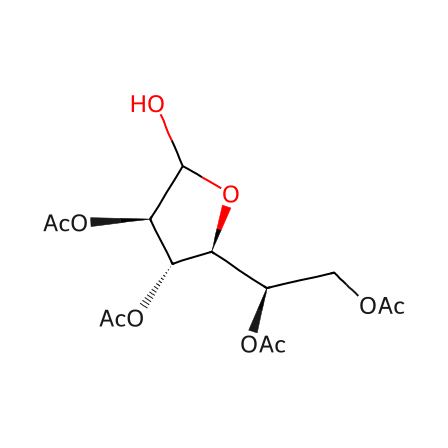 CC(=O)OC[C@@H](OC(C)=O)[C@@H]1OC(O)[C@H](OC(C)=O)[C@H]1OC(C)=O